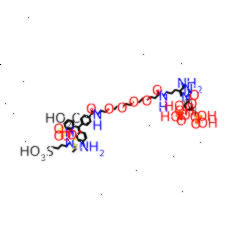 C/C=S(\NCCCCS(=O)(=O)O)c1c(N)ccc2c(-c3ccc(C(=O)NCCOCCOCCOCCOCCC(=O)NCCCc4cn([C@@H]5O[C@H](COP(=O)(O)O)C(OP(=O)(O)O)C5O)c(=O)nc4N)cc3C(=O)O)c3cccc(S(=O)(=O)[O-])c3[o+]c12